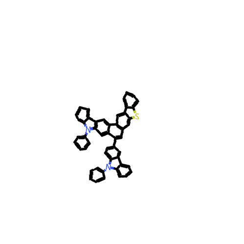 c1ccc(-n2c3ccccc3c3cc(-c4cc5cc6sc7ccccc7c6cc5c5cc6c7ccccc7n(-c7ccccc7)c6cc45)ccc32)cc1